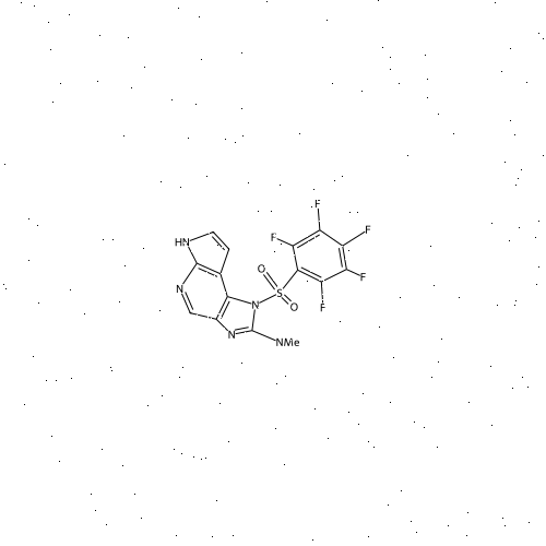 CNc1nc2cnc3[nH]ccc3c2n1S(=O)(=O)c1c(F)c(F)c(F)c(F)c1F